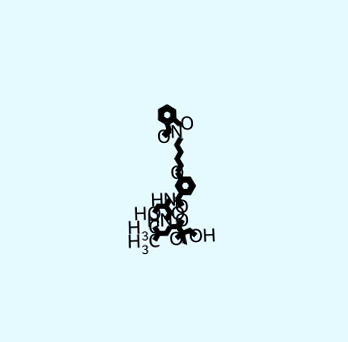 CC(C)CC(NC(=O)C(CO)NC(=O)c1cccc(OCCCCCN2C(=O)c3ccccc3C2=O)c1)C(=O)C1(CO)CO1